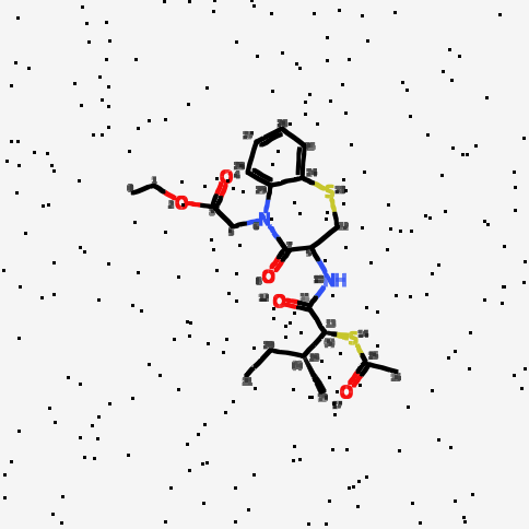 CCOC(=O)CN1C(=O)C(NC(=O)[C@@H](SC(C)=O)[C@@H](C)CC)CSc2ccccc21